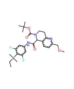 CC[Si](C)(C)c1c(F)cc(NC(=O)C2c3ccc(COC)nc3CCN2C(=O)OC(C)(C)C)cc1F